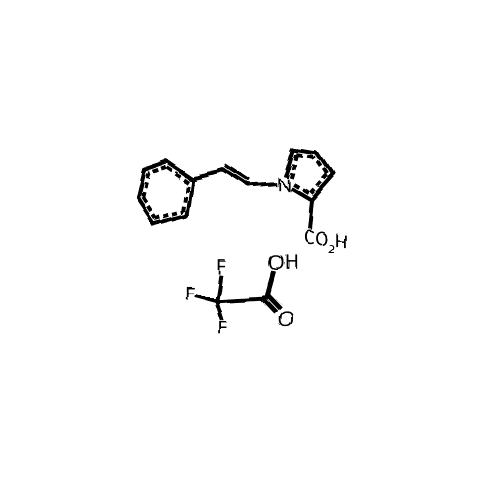 O=C(O)C(F)(F)F.O=C(O)c1cccn1C=Cc1ccccc1